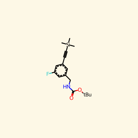 CC(C)(C)OC(=O)NCc1cc(F)cc(C#C[Si](C)(C)C)c1